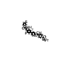 CC(C)OC(=O)N1CCC([C@H](C)Oc2ccc(-c3ccc(CC(N)C(=O)N4CCC(F)C4)c(F)c3)cn2)CC1